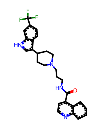 O=C(NCCCN1CCC(c2c[nH]c3cc(C(F)(F)F)ccc23)CC1)c1ccnc2ccccc12